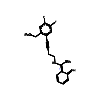 CN/C(NCCC#Cc1cc(F)c(F)cc1COC)=C1/C=CC=CC1=N